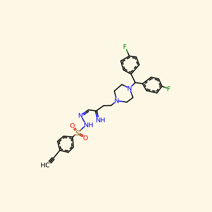 C#Cc1ccc(S(=O)(=O)N/N=C\C(=N)CCN2CCN(C(c3ccc(F)cc3)c3ccc(F)cc3)CC2)cc1